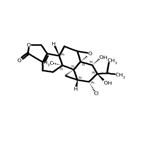 CC(C)[C@]1(O)[C@H](Cl)[C@@H]2C[C@@]23[C@@]2(C)CCC4=C(COC4=O)[C@@H]2CC2O[C@@]23[C@@H]1O